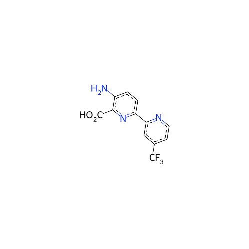 Nc1ccc(-c2cc(C(F)(F)F)ccn2)nc1C(=O)O